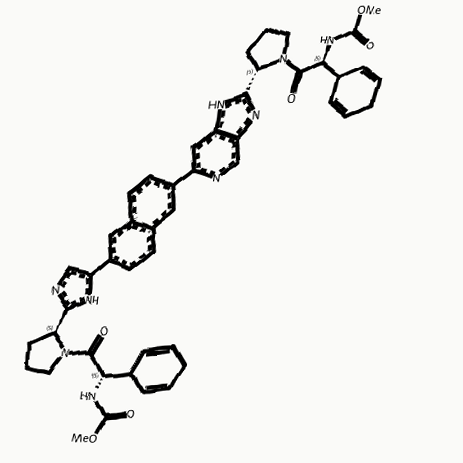 COC(=O)N[C@H](C(=O)N1CCC[C@H]1c1ncc(-c2ccc3cc(-c4cc5[nH]c([C@@H]6CCCN6C(=O)[C@@H](NC(=O)OC)C6C=CCC=C6)nc5cn4)ccc3c2)[nH]1)C1C=CCC=C1